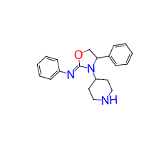 c1ccc(N=C2OCC(c3ccccc3)N2C2CCNCC2)cc1